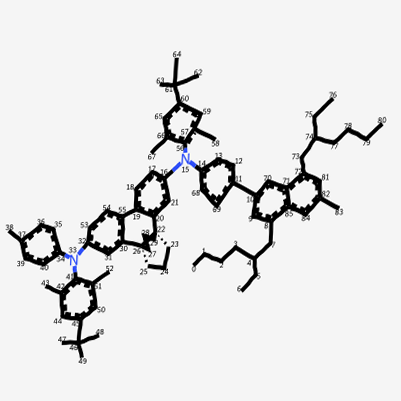 CCCCC(CC)Cc1cc(-c2ccc(N(c3ccc4c(c3)[C@]35CCC[C@]3(CCC5)c3cc(N(c5ccc(C)cc5)c5c(C)cc(C(C)(C)C)cc5C)ccc3-4)c3c(C)cc(C(C)(C)C)cc3C)cc2)cc2c(CC(CC)CCCC)cc(C)cc12